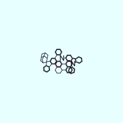 c1ccc(-n2c3ccccc3c3ccc(N(c4ccccc4-c4ccc5c(c4)C4(c6ccccc6-5)C5CC6CC(C5)CC4C6)c4ccccc4-c4cccc5cccc(C6CCCCC6)c45)cc32)cc1